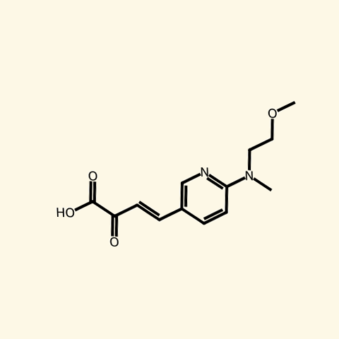 COCCN(C)c1ccc(/C=C/C(=O)C(=O)O)cn1